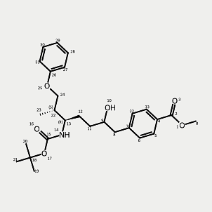 COC(=O)c1ccc(CC(O)CC[C@@H](NC(=O)OC(C)(C)C)[C@H](C)COc2ccccc2)cc1